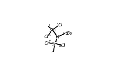 CC(C)(C)N([Si](C)(Cl)Cl)[Si](C)(Cl)Cl